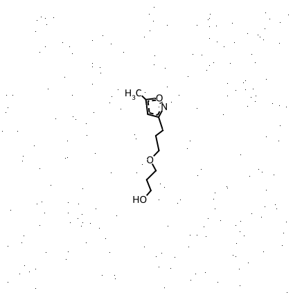 Cc1cc(CCCOCCCO)no1